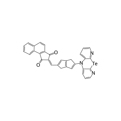 O=C1/C(=C\C2=CC3=C(C=C(N4c5cccnc5[Te]c5ncccc54)C3)C2)C(=O)c2c1ccc1ccccc21